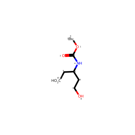 CC(C)(C)OC(=O)NC(CCO)CC(=O)O